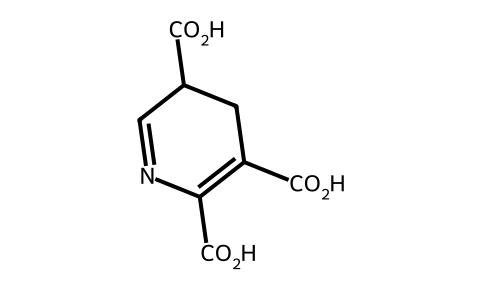 O=C(O)C1=C(C(=O)O)N=CC(C(=O)O)C1